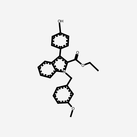 CCOC(=O)c1c(-c2ccc(O)cc2)c2ccccc2n1Cc1cccc(OC)c1